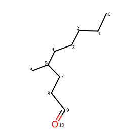 CCCCCC(C)CC[C]=O